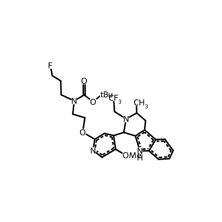 COc1cnc(OCCN(CCCF)C(=O)OC(C)(C)C)cc1C1c2[nH]c3ccccc3c2CC(C)N1CC(F)(F)F